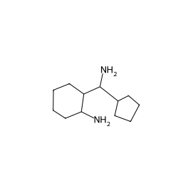 NC1CCCCC1C(N)C1CCCC1